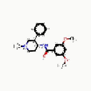 COc1cc(OC)cc(C(=O)N[C@H]2CCN(C)C[C@H]2c2ccccc2)c1